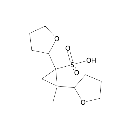 CC1(C2CCCO2)CC1(C1CCCO1)S(=O)(=O)O